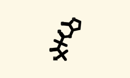 CCC(C)(C)C(=O)C(C)(C)C(=O)OC1CCOC1=O